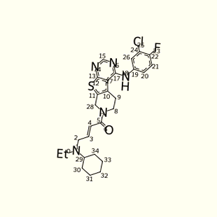 CCN(CC=CC(=O)N1CCc2c(sc3ncnc(Nc4ccc(F)c(Cl)c4)c23)C1)C1CCCCC1